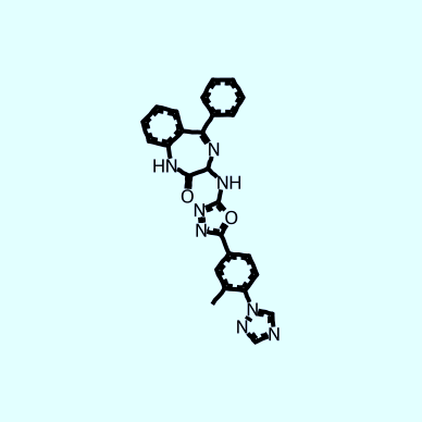 Cc1cc(-c2nnc(NC3N=C(c4ccccc4)c4ccccc4NC3=O)o2)ccc1-n1cncn1